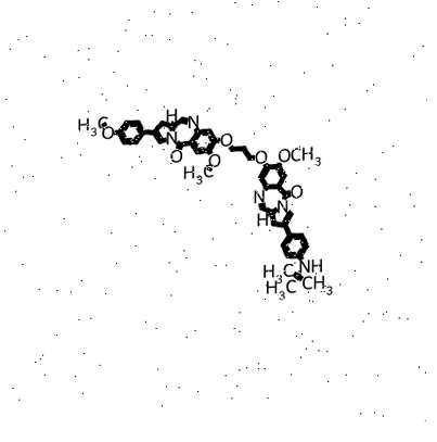 COC1=CC2C(=O)N3C=C(c4ccc(NC(C)(C)C)cc4)C[C@H]3C=NC2C=C1OCCCOc1cc2c(cc1OC)C(=O)N1C=C(c3ccc(OC)cc3)C[C@H]1C=N2